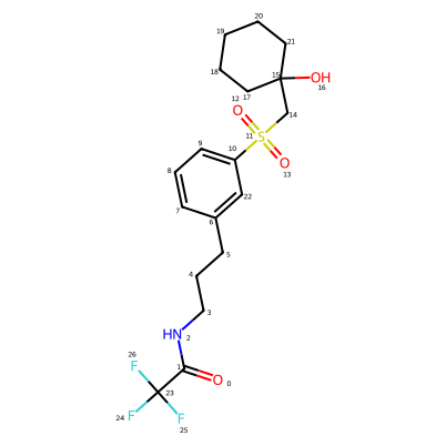 O=C(NCCCc1cccc(S(=O)(=O)CC2(O)CCCCC2)c1)C(F)(F)F